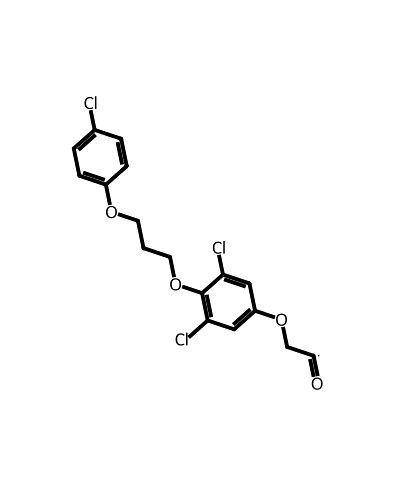 O=[C]COc1cc(Cl)c(OCCCOc2ccc(Cl)cc2)c(Cl)c1